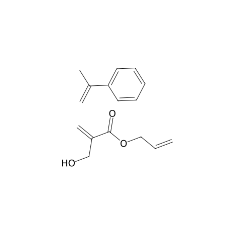 C=C(C)c1ccccc1.C=CCOC(=O)C(=C)CO